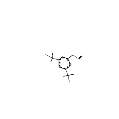 CC(C)(C)c1cc(CC=O)cc(C(C)(C)C)c1